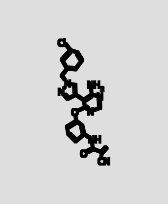 C=C(C#N)C(=O)Nc1cccc(Oc2ncnc(N)c2-c2cnn(Cc3cccc(Cl)c3)c2)c1